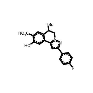 CC(C)(C)C1Cn2nc(-c3ccc(F)cc3)cc2-c2cc(O)c(C(=O)O)cc21